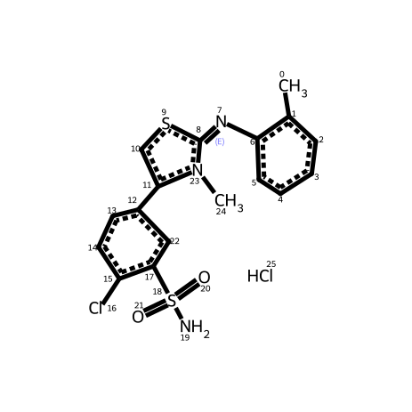 Cc1ccccc1/N=c1/scc(-c2ccc(Cl)c(S(N)(=O)=O)c2)n1C.Cl